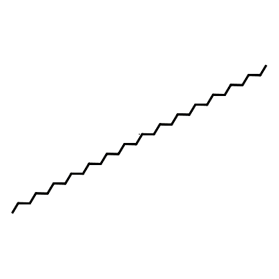 CCCCCCCCCCCCCC[CH]CCCCCCCCCCCCCCC